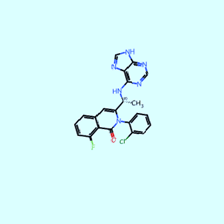 C[C@@H](Nc1ncnc2[nH]cnc12)c1cc2cccc(F)c2c(=O)n1-c1ccccc1Cl